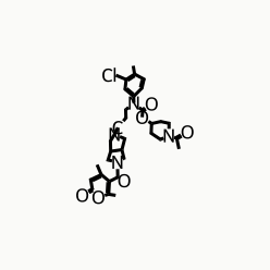 CC(=O)N1CCC(OC(=O)N(CCCN2CC3CN(C(=O)c4c(C)cc(=O)oc4C)CC3C2)c2ccc(C)c(Cl)c2)CC1